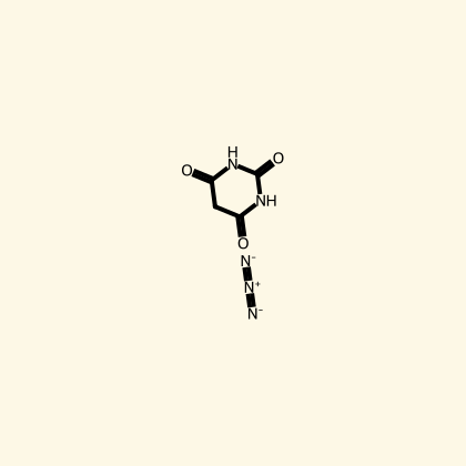 O=C1CC(=O)NC(=O)N1.[N-]=[N+]=[N-]